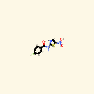 O=C(Nc1ncc([N+](=O)[O-])s1)c1ccc(F)cc1